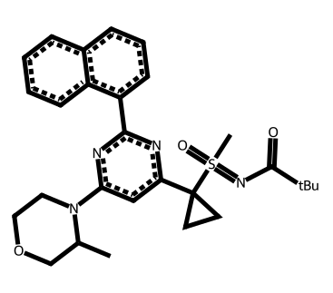 CC1COCCN1c1cc(C2(S(C)(=O)=NC(=O)C(C)(C)C)CC2)nc(-c2cccc3ccccc23)n1